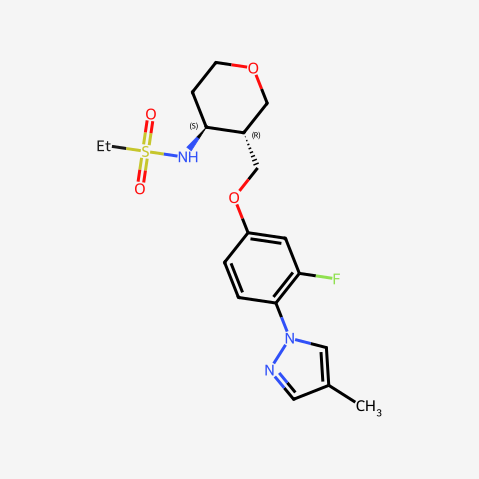 CCS(=O)(=O)N[C@H]1CCOC[C@@H]1COc1ccc(-n2cc(C)cn2)c(F)c1